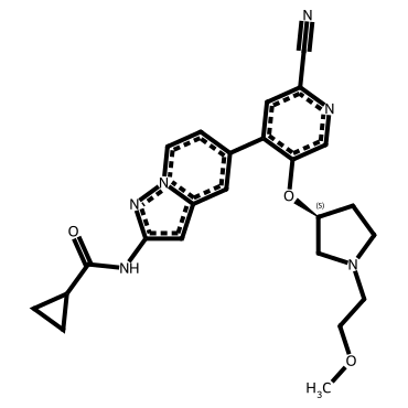 COCCN1CC[C@H](Oc2cnc(C#N)cc2-c2ccn3nc(NC(=O)C4CC4)cc3c2)C1